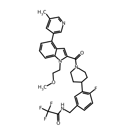 COCCn1c(C(=O)N2CCC(c3cc(CNC(=O)C(F)(F)F)ccc3F)CC2)cc2c(-c3cncc(C)c3)cccc21